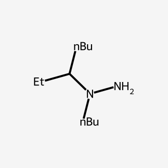 CCCCC(CC)N(N)CCCC